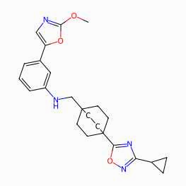 COc1ncc(-c2cccc(NCC34CCC(c5nc(C6CC6)no5)(CC3)CC4)c2)o1